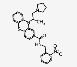 CC(CN1CCCC1)N1c2ccccc2Sc2ccc(C(=O)NCc3ccccc3[N+](=O)[O-])cc21